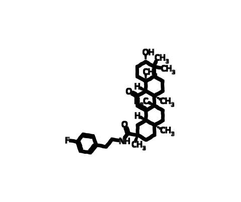 CC1(C)C2CC[C@]3(C)[C@H](C(=O)C=C4[C@H]5C[C@@](C)(C(=O)NCCc6ccc(F)cc6)CC[C@]5(C)CC[C@]43C)[C@@]2(C)CC[C@@H]1O